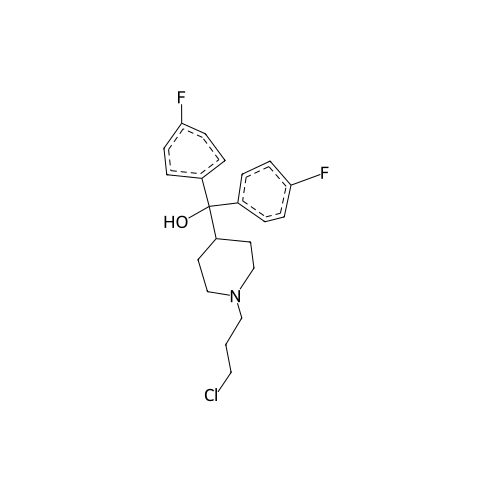 OC(c1ccc(F)cc1)(c1ccc(F)cc1)C1CCN(CCCCl)CC1